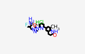 Cc1ccc(-c2cc(C)c3c(c2)CCC(=O)N3)nc1-n1cnn(C/C(=C/F)CN)c1=O.Cl